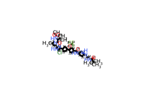 COC(=O)N[C@H](C(=O)N1C[C@@H](C)C[C@H]1c1nc(-c2ccc(-c3ccc(C(=O)Nc4ccc(NCCNC(=O)C(C)(C)C)nc4)cc3OC(F)(F)F)cc2)c(Cl)[nH]1)C(C)C